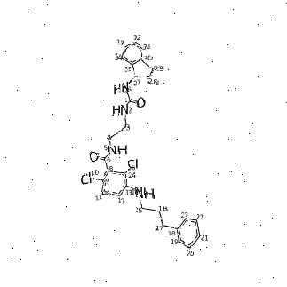 O=C(NCCNC(=O)c1c(Cl)ccc(NCCCc2ccccc2)c1Cl)N[C@@H]1CCc2ccccc21